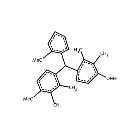 COc1ccccc1C(c1ccc(OC)c(C)c1C)c1ccc(OC)c(C)c1C